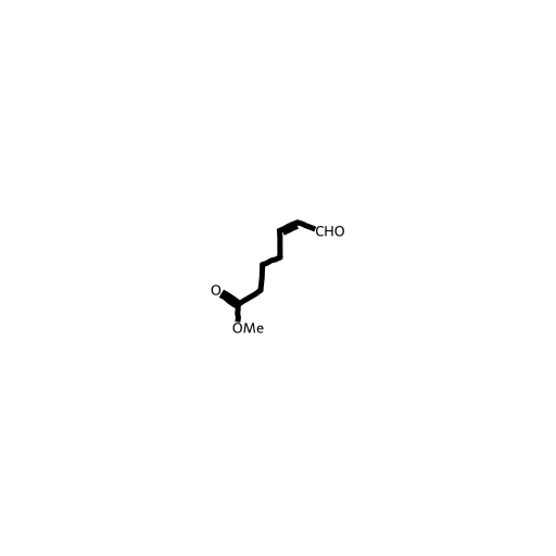 COC(=O)CCC/C=C\C=O